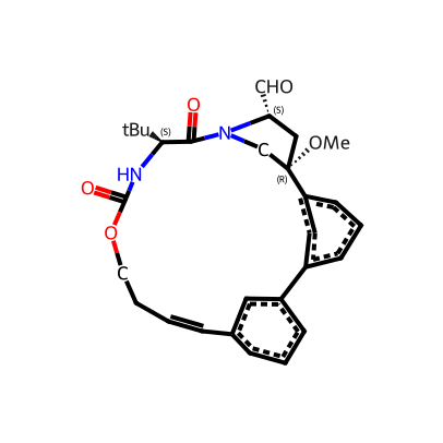 CO[C@@]12C[C@@H](C=O)N(C1)C(=O)[C@H](C(C)(C)C)NC(=O)OCCC=Cc1cccc(c1)-c1cccc2c1